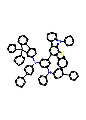 c1ccc(-c2ccc(N(c3ccccc3)c3cc(-c4cc5c6ccccc6n(-c6ccccc6)c5c5sc6ccccc6c45)cc(N(c4ccc(-c5ccccc5)cc4)c4ccc5c(c4)C(c4ccccc4)(c4ccccc4)c4ccccc4-5)c3)cc2)cc1